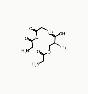 NCC(=O)OC(=O)CN.NCC(=O)OC[C@H](N)C(=O)O